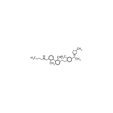 CCCCNCc1cccc(-c2cccc(CCc3ccc(C(C)N4CCC(C)C4)cc3C)c2C)c1C